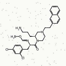 BOC=N[C@H](Cc1ccc(Cl)cc1Cl)C(=O)N1CCN(CCc2ccc3ccccc3c2)C[C@@H]1CCCN